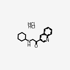 Cl.Cl.O=C(CNC1CCCCC1)c1cnc2ccccc2c1